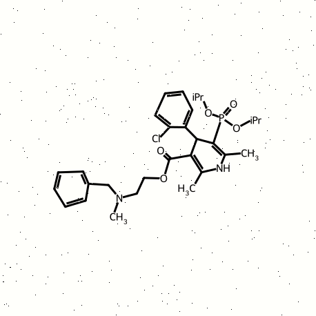 CC1=C(C(=O)OCCN(C)Cc2ccccc2)C(c2ccccc2Cl)C(P(=O)(OC(C)C)OC(C)C)=C(C)N1